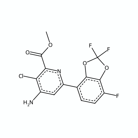 COC(=O)c1nc(-c2ccc(F)c3c2OC(F)(F)O3)cc(N)c1Cl